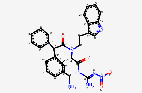 NCCC[C@@H](C(=O)NC(N)=N[N+](=O)[O-])N(CCc1c[nH]c2ccccc12)C(=O)C(c1ccccc1)c1ccccc1